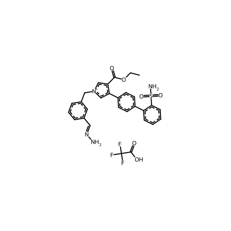 CCOC(=O)c1cn(Cc2cccc(C=NN)c2)cc1-c1ccc(-c2ccccc2S(N)(=O)=O)cc1.O=C(O)C(F)(F)F